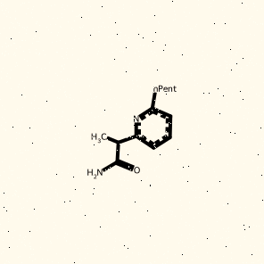 CCCCCc1cccc(C(C)C(N)=O)n1